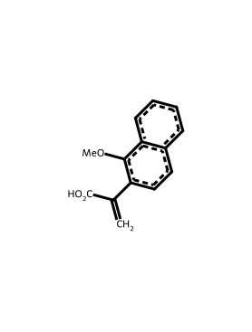 C=C(C(=O)O)c1ccc2ccccc2c1OC